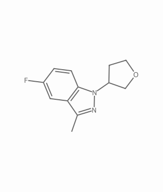 Cc1nn(C2CCOC2)c2ccc(F)cc12